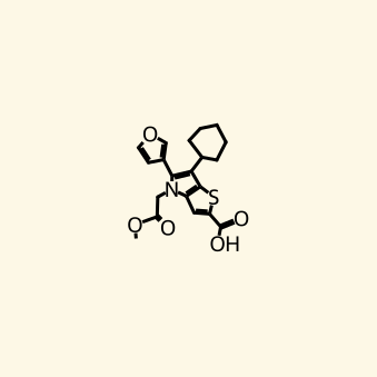 COC(=O)Cn1c(-c2ccoc2)c(C2CCCCC2)c2sc(C(=O)O)cc21